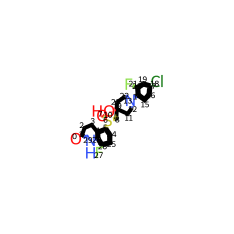 O=C1CCc2c([S+]([O-])CC3(O)CCN(c4ccc(Cl)cc4F)CC3)ccc(F)c2N1